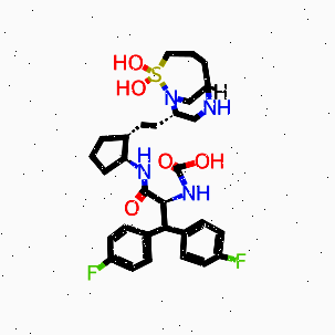 O=C(O)N[C@H](C(=O)N[C@H]1CCC[C@@H]1CC[C@H]1CN[C@@H]2CCCS(O)(O)N1C2)C(c1ccc(F)cc1)c1ccc(F)cc1